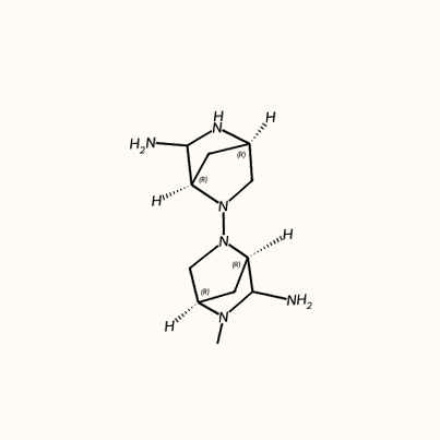 CN1C(N)[C@H]2C[C@@H]1CN2N1C[C@H]2C[C@@H]1C(N)N2